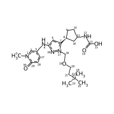 Cn1cc(Nc2cc([C@H]3CCC(NC(=O)O)C3)n(COCC[Si](C)(C)C)n2)ccc1=O